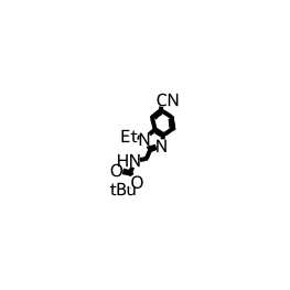 CCn1c(CNC(=O)OC(C)(C)C)nc2ccc(C#N)cc21